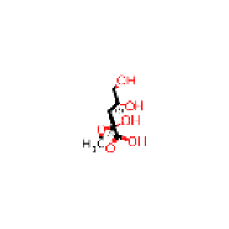 CO[C@](O)(C[C@H](O)CO)C(=O)O